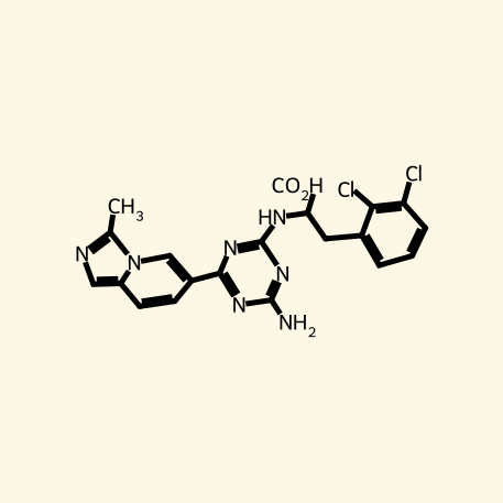 Cc1ncc2ccc(-c3nc(N)nc(NC(Cc4cccc(Cl)c4Cl)C(=O)O)n3)cn12